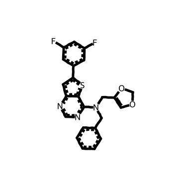 Fc1cc(F)cc(-c2cc3ncnc(N(CC4=COCO4)Cc4ccccc4)c3s2)c1